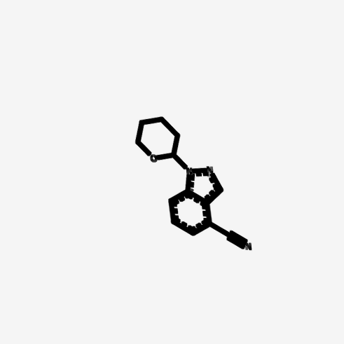 N#Cc1cccc2c1cnn2C1CCCCO1